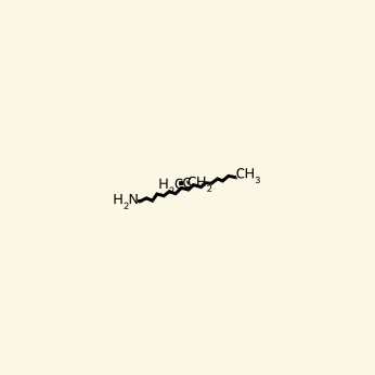 C=C=C.CCCCCCCCCCCCCCCCCCN